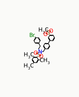 Cc1cc(C)c(S(=O)(=O)N(CCc2ccc(Br)cc2)Cc2ccc(-c3cccc(S(C)(=O)=O)c3)cc2)c(C)c1